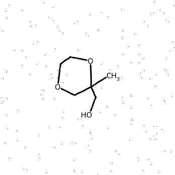 CC1(CO)COCCO1